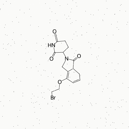 O=C1CCC(N2CC3=C(OCCBr)C=CCC3C2=O)C(=O)N1